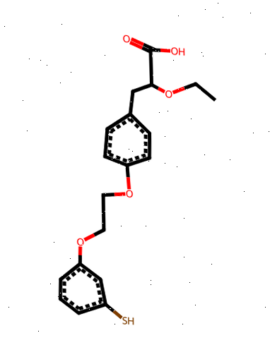 CCOC(Cc1ccc(OCCOc2cccc(S)c2)cc1)C(=O)O